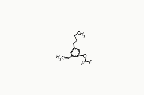 C=Cc1cc(CCCC)cc(OC(F)F)c1